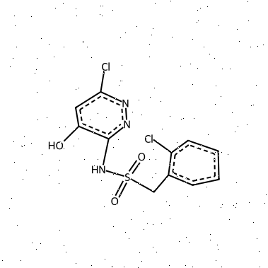 O=S(=O)(Cc1ccccc1Cl)Nc1nnc(Cl)cc1O